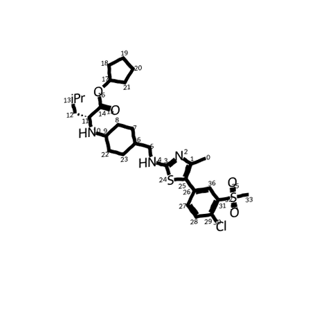 Cc1nc(NCC2CCC(N[C@H](CC(C)C)C(=O)OC3CCCC3)CC2)sc1-c1ccc(Cl)c(S(C)(=O)=O)c1